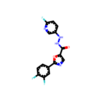 O=C(NNc1ccc(F)nc1)c1cnc(-c2ccc(F)c(F)c2)o1